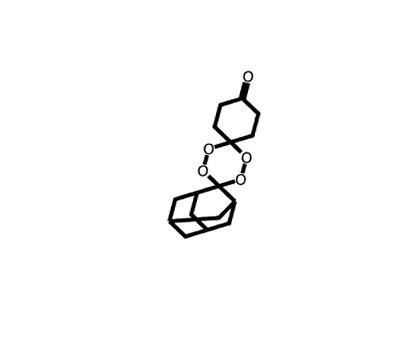 O=C1CCC2(CC1)OOC1(OO2)C2CC3CC(C2)CC1C3